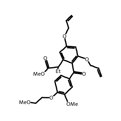 C=CCOc1cc(OCC=C)c(C(=O)c2ccc(OCCOC)c(OC)c2)c(C(CC)C(=O)OC)c1